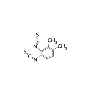 Cc1ccc(N=C=S)c(N=C=S)c1C